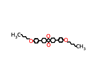 CCCCCCOc1ccc(C2CCC3(CC2)C(=O)C2(CCC(c4ccc(OCCCCCC)cc4)CC2)C3=O)cc1